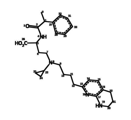 CC(C(=O)NC(CCN(CCCCc1ccc2c(n1)NCCC2)C1CC1)C(=O)O)c1ccccc1